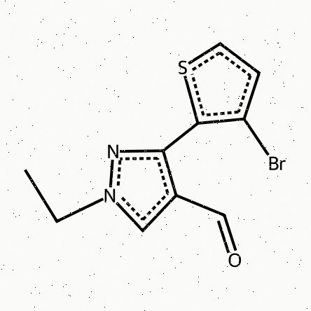 CCn1cc(C=O)c(-c2sccc2Br)n1